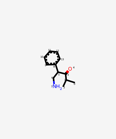 CC(C)C(=O)C(CN)c1ccccc1